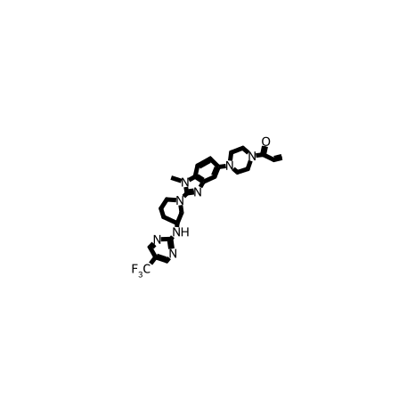 C=CC(=O)N1CCN(c2ccc3c(c2)nc(N2CCCC(Nc4ncc(C(F)(F)F)cn4)C2)n3C)CC1